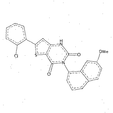 COc1ccc2cccc(-n3c(=O)[nH]c4cc(-c5ccccc5Cl)sc4c3=O)c2c1